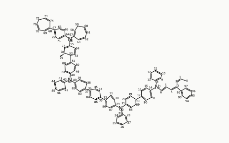 C\C=C/C(=C\C=C\N(c1ccccc1)c1ccc(-c2ccc(N(c3ccccc3)c3ccc(-c4ccc(-c5ccc(N(c6ccccc6)c6ccc(C7C=CC(N(C8=CCC=CC=C8)c8ccc(C9=CC=CCC=C9)cc8)=C[C@@H]7C)cc6)cc5)cc4)cc3)cc2)cc1)c1ccccc1